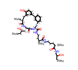 CNCC(O)CNC(=O)[C@H](CCCNC(=O)[C@H](CCNC(=O)[C@@H]1Cc2cccc(c2)-c2ccc(O)c(c2)C[C@H](NC)C(=O)N[C@@H](C[C@@H](O)CNC)C(=O)N1)NC)NC